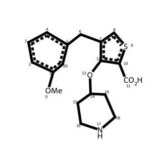 COc1cccc(Cc2csc(C(=O)O)c2OC2CCNCC2)c1